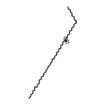 CCCCCCCC/C=C\CCCCCCCCOC(=O)CCCCCCCCCCCCCCCCCCCCCCCCCCCCCCCCC